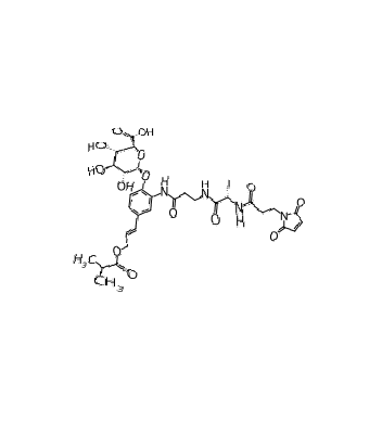 CC(C)C(=O)OC/C=C/c1ccc(O[C@@H]2O[C@H](C(=O)O)[C@@H](O)[C@H](O)[C@H]2O)c(NC(=O)CCNC(=O)[C@H](I)NC(=O)CCN2C(=O)C=CC2=O)c1